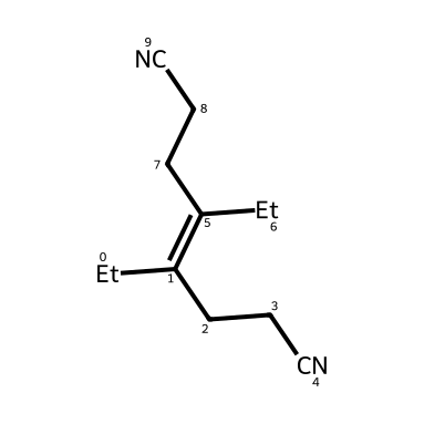 CCC(CCC#N)=C(CC)CCC#N